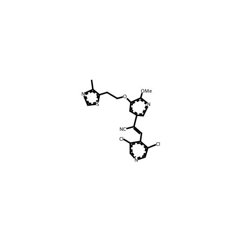 COc1ncc(C(C#N)=Cc2c(Cl)cncc2Cl)cc1OCCc1scnc1C